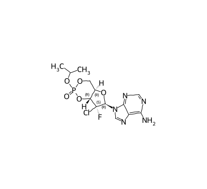 CC(C)OP1(=O)OC[C@H]2O[C@@H](n3cnc4c(N)ncnc43)[C@@](F)(Cl)[C@@H]2O1